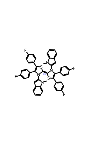 Cn1c(N2C(c3ccc(F)cc3)=C(c3ccc(F)cc3)S/C2=C2/SC(c3ccc(F)cc3)=C(c3ccc(F)cc3)N2c2cc3ccccc3n2C)cc2ccccc21